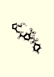 CCN1CCCC1CNC(=O)c1ccc(NS(=O)(=O)c2ccc(F)cc2)c([N+](=O)[O-])c1